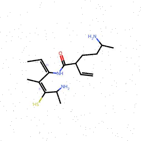 C=CC(CCC(C)N)C(=O)NC(=C/C)/C(C)=C(/S)C(C)N